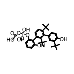 CC(C)(C)c1cc(-c2c(C(C)(C)C)ccc(-c3c(O)cccc3OP(=O)(O)OP(=O)(O)O)c2C(C)(C)C)ccc1O